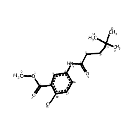 COC(=O)c1cc(NC(=O)CCC(C)(C)C)ccc1Cl